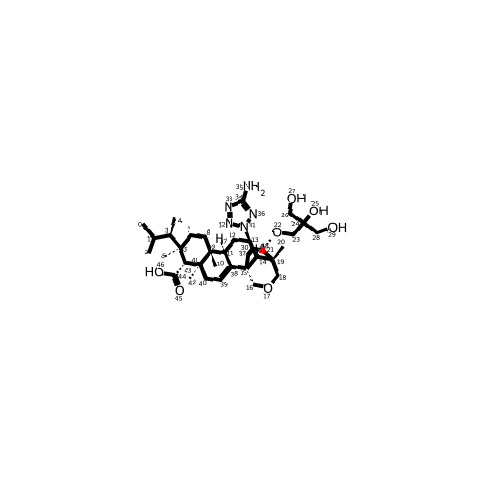 CC(C)[C@@H](C)[C@@]1(C)CC[C@]2(C)[C@H]3CC[C@@H]4[C@@]5(COC[C@@]4(C)[C@@H](OCC(O)(CO)CO)[C@H](n4nnc(N)n4)C5)C3=CC[C@@]2(C)[C@@H]1C(=O)O